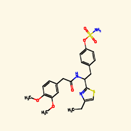 CCc1csc(C(Cc2ccc(OS(N)(=O)=O)cc2)NC(=O)Cc2ccc(OC)c(OC)c2)n1